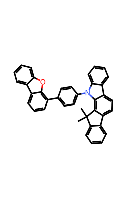 CC1(C)c2ccccc2-c2ccc3c4ccccc4n(-c4ccc(-c5cccc6c5oc5ccccc56)cc4)c3c21